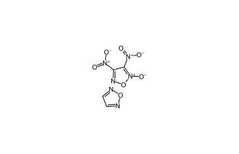 O=[N+]([O-])c1no[n+]([O-])c1[N+](=O)[O-].c1cnon1